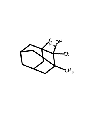 CCC1(O)C2(C)CC3CC(C2)CC1(C)C3